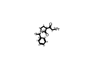 CC(C)CC(=O)C1CCN(C(I)c2ccccc2)C1=O